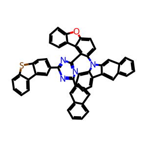 c1ccc2cc(-c3nc(-c4ccc5sc6ccccc6c5c4)nc(-c4c(-n5c6ccccc6c6cc7ccccc7cc65)ccc5oc6ccccc6c45)n3)ccc2c1